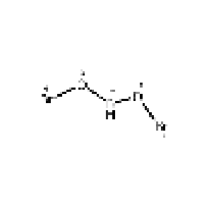 BrOBOBr